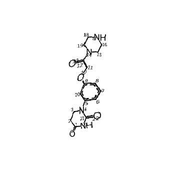 O=C1CCN(c2cccc(OCC(=O)N3CCNCC3)c2)C(=O)N1